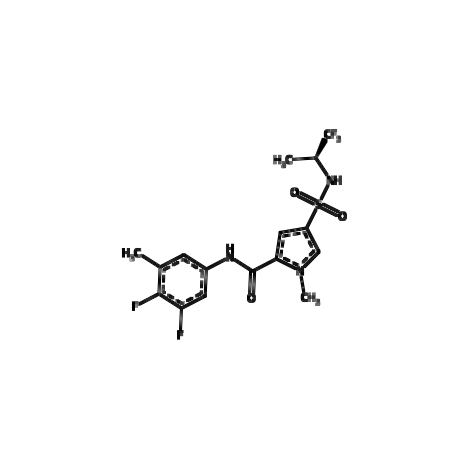 Cc1cc(NC(=O)c2cc(S(=O)(=O)N[C@@H](C)C(F)(F)F)cn2C)cc(F)c1F